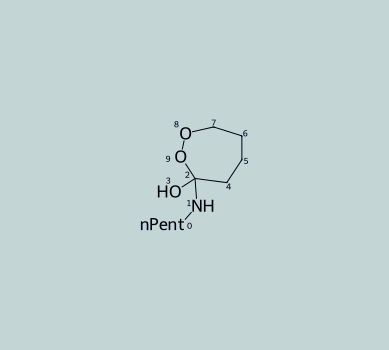 CCCCCNC1(O)CCCCOO1